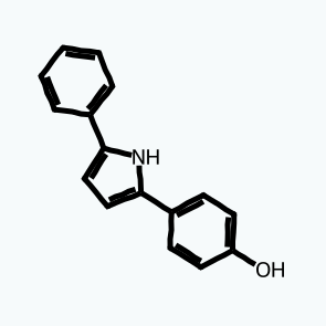 Oc1ccc(-c2ccc(-c3ccccc3)[nH]2)cc1